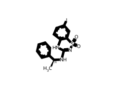 C[C@H](NC1=NS(=O)(=O)c2cc(I)ccc2N1)c1ccccc1